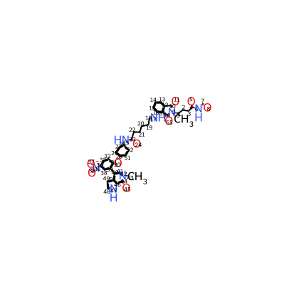 CC(CCC(=O)NC=O)N1C(=O)c2cccc(NCCCCCC(=O)Nc3ccc(Oc4ccc([N+](=O)[O-])cc4-c4cn(C)c(=O)c5[nH]ccc45)cc3)c2C1=O